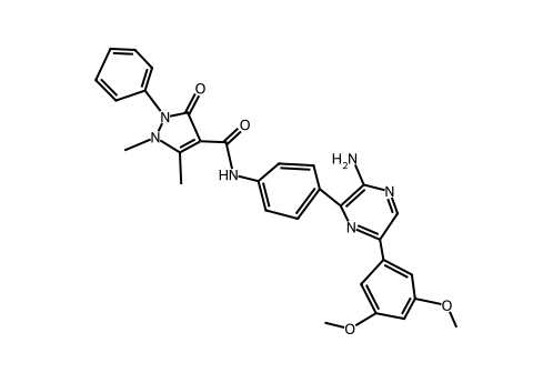 COc1cc(OC)cc(-c2cnc(N)c(-c3ccc(NC(=O)c4c(C)n(C)n(-c5ccccc5)c4=O)cc3)n2)c1